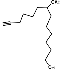 C#CCCCCC(CCCCCCO)OC(C)=O